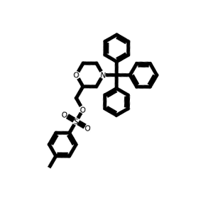 Cc1ccc(S(=O)(=O)OCC2CN(C(c3ccccc3)(c3ccccc3)c3ccccc3)CCO2)cc1